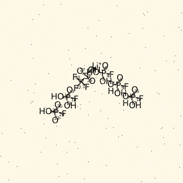 O=P(O)(O)F.O=P(O)(O)F.O=P(O)(O)F.O=P(O)(O)F.O=P([O-])(O)F.O=S(=O)(O)C(F)(F)F.[Li+]